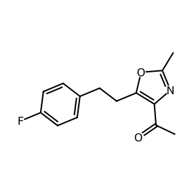 CC(=O)c1nc(C)oc1CCc1ccc(F)cc1